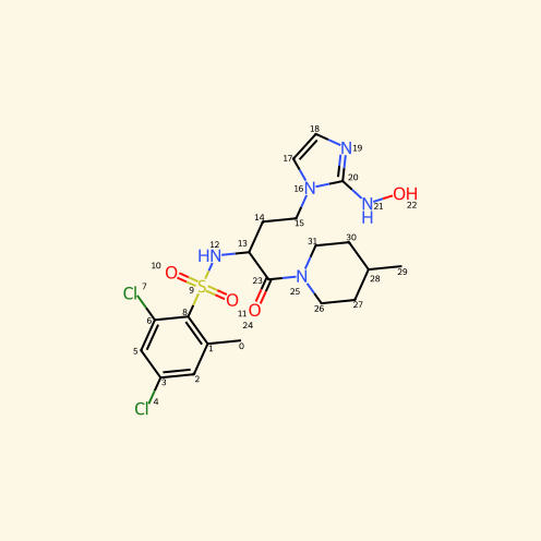 Cc1cc(Cl)cc(Cl)c1S(=O)(=O)NC(CCn1ccnc1NO)C(=O)N1CCC(C)CC1